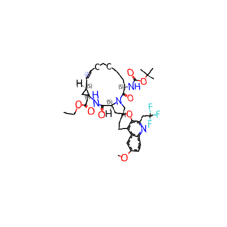 CCOC(=O)[C@@]12C[C@H]1/C=C\CCCCC[C@H](NC(=O)OC(C)(C)C)C(=O)N1C[C@@]3(CCc4c(c(CC(F)(F)F)nc5ccc(OC)cc45)O3)C[C@H]1C(=O)N2